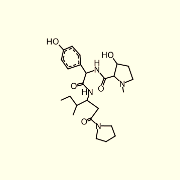 CCC(C)C(CC(=O)N1CCCC1)NC(=O)C(NC(=O)C1C(O)CCN1C)c1ccc(O)cc1